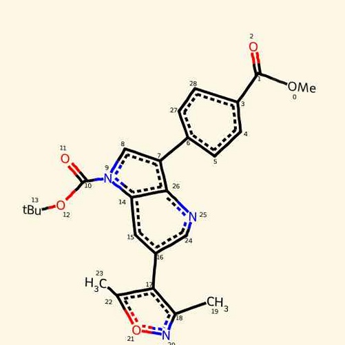 COC(=O)c1ccc(-c2cn(C(=O)OC(C)(C)C)c3cc(-c4c(C)noc4C)cnc23)cc1